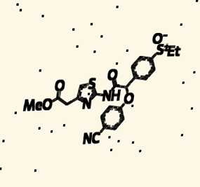 CC[S+]([O-])c1ccc(C(Oc2ccc(C#N)cc2)C(=O)Nc2nc(CC(=O)OC)cs2)cc1